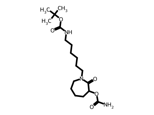 CC(C)(C)OC(=O)NCCCCCCN1CCCCC(OC(N)=O)C1=O